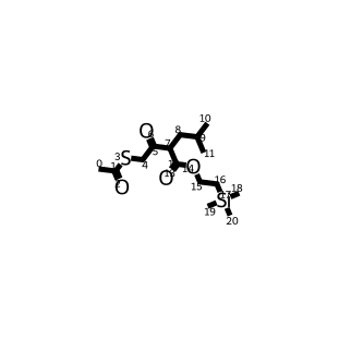 CC(=O)SCC(=O)C(CC(C)C)C(=O)OCC[Si](C)(C)C